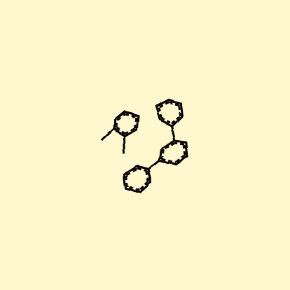 Cc1ccccc1C.c1ccc(-c2cccc(-c3ccccc3)c2)cc1